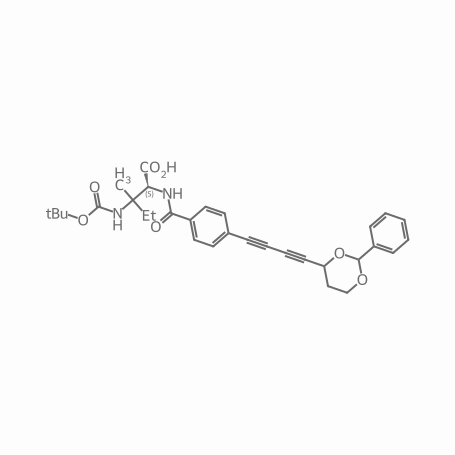 CCC(C)(NC(=O)OC(C)(C)C)[C@H](NC(=O)c1ccc(C#CC#CC2CCOC(c3ccccc3)O2)cc1)C(=O)O